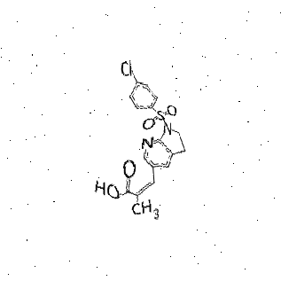 CC(=Cc1cnc2c(c1)CCN2S(=O)(=O)c1ccc(Cl)cc1)C(=O)O